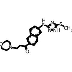 CSc1nc(Nc2ccc3cc(C(=O)CCN4CCOCC4)ccc3c2)n[nH]1